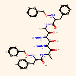 CC(NC(=O)C(Cc1ccccc1)NOCc1ccccc1)C(=O)C(=[N+]=[N-])C(=O)C(=[N+]=[N-])C(=O)C(C)NC(=O)C(Cc1ccccc1)NOCc1ccccc1